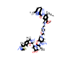 COc1cc2c(cc1NC(=O)c1cccc(C(F)(F)F)n1)CN(CCN1CCN(CC(=O)N3CCC(N[C@H](C(=O)N4C[C@H](O)C[C@H]4CC(=O)N[C@@H](C)c4ccc(-c5scnc5C)cc4)C(C)(C)C)CC3)CC1)C2=O